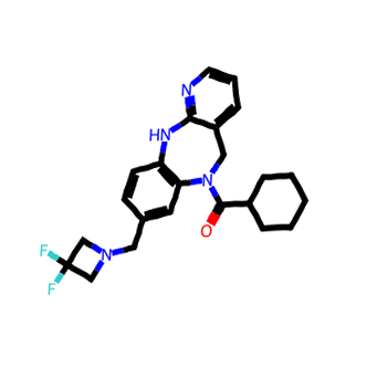 O=C(C1CCCCC1)N1Cc2cccnc2Nc2ccc(CN3CC(F)(F)C3)cc21